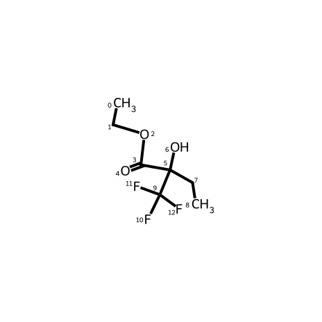 CCOC(=O)C(O)(CC)C(F)(F)F